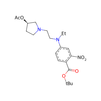 CCN(CCN1CC[C@@H](OC(C)=O)C1)c1ccc(C(=O)OC(C)(C)C)c([N+](=O)[O-])c1